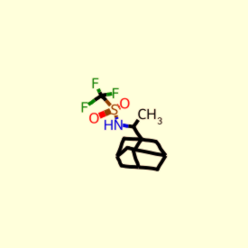 CC(NS(=O)(=O)C(F)(F)F)C12CC3CC(CC(C3)C1)C2